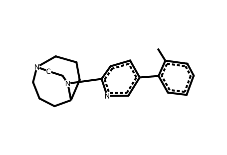 Cc1ccccc1-c1ccc(N2CCN3CCCC2CCC3)nc1